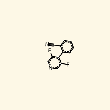 N#Cc1ccccc1-c1c(F)cncc1F